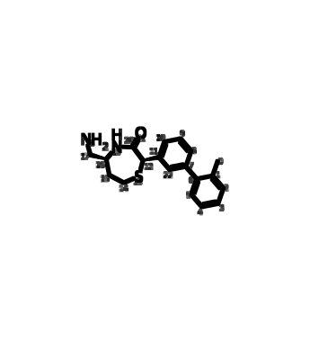 Cc1ccccc1-c1cccc([C@H]2SCC[C@@H](CN)NC2=O)c1